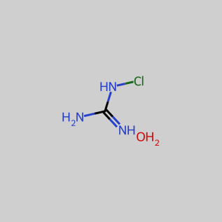 N=C(N)NCl.O